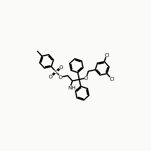 Cc1ccc(S(=O)(=O)OCC(N)C(OCc2cc(Cl)cc(Cl)c2)(c2ccccc2)c2ccccc2)cc1